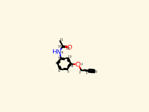 C#CCOc1cccc(NC(C)=O)c1